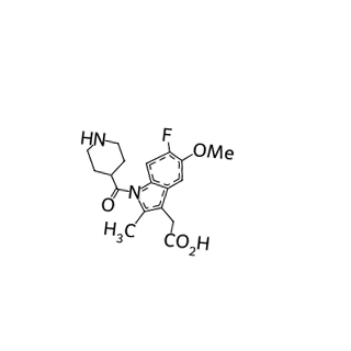 COc1cc2c(CC(=O)O)c(C)n(C(=O)C3CCNCC3)c2cc1F